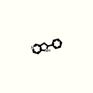 c1ccc(C2Cc3cnccc3N2)cc1